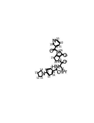 CC(C)CC(NC(=O)c1ccc(N2CCCC2)cc1)C(=O)N1CCC2C1C(=O)CN2C(=O)c1cccnc1